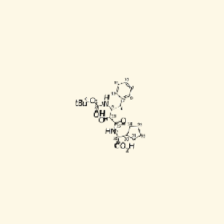 CC(C)(C)OC(=O)N[C@H](Cc1ccccc1)[C@H](O)C(=O)N[C@H](C(=O)O)C1CCCC1